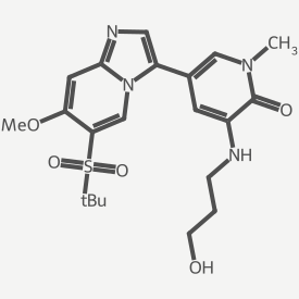 COc1cc2ncc(-c3cc(NCCCO)c(=O)n(C)c3)n2cc1S(=O)(=O)C(C)(C)C